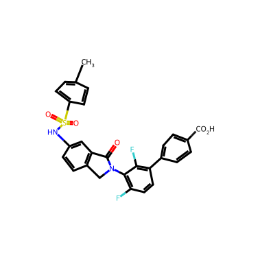 Cc1ccc(S(=O)(=O)Nc2ccc3c(c2)C(=O)N(c2c(F)ccc(-c4ccc(C(=O)O)cc4)c2F)C3)cc1